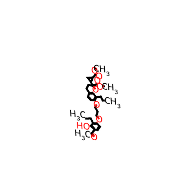 CCCc1c(OCCCOc2ccc3c(c2CCC)OC(C(=O)OC)(C2CC2C(=O)OC)CC3)ccc(C(C)=O)c1O